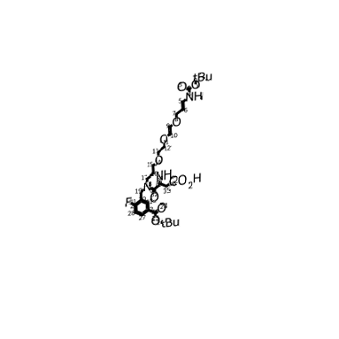 CC(C)(C)OC(=O)NCCCOCCOCCOCCCN(Cc1cc(C(=O)OC(C)(C)C)ccc1F)C(=O)[C@@H](N)CC(=O)O